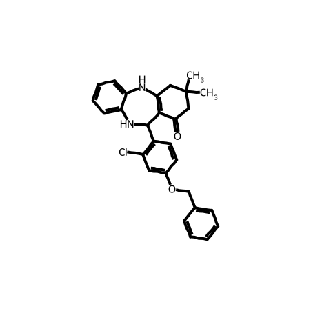 CC1(C)CC(=O)C2=C(C1)Nc1ccccc1NC2c1ccc(OCc2ccccc2)cc1Cl